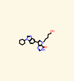 O=c1[nH]cnc2c(-c3ccc4c(c3)ncn4C3CCCCC3)cn(CCCCCO)c12